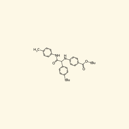 Cc1ccc(NC(=O)C(Nc2ccc(C(=O)OC(C)(C)C)cc2)c2ccc(C(C)(C)C)cc2)cc1